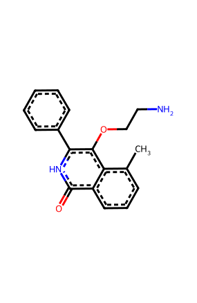 Cc1cccc2c(=O)[nH]c(-c3ccccc3)c(OCCN)c12